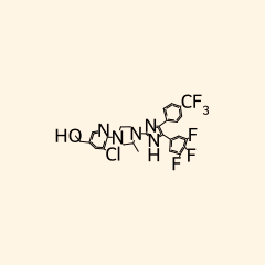 CC1CN(c2ncc(CO)cc2Cl)CCN1c1nc(-c2ccc(C(F)(F)F)cc2)c(-c2cc(F)c(F)c(F)c2)[nH]1